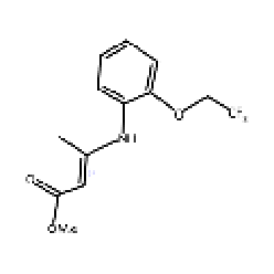 COC(=O)/C=C(\C)Nc1ccccc1OCC(F)(F)F